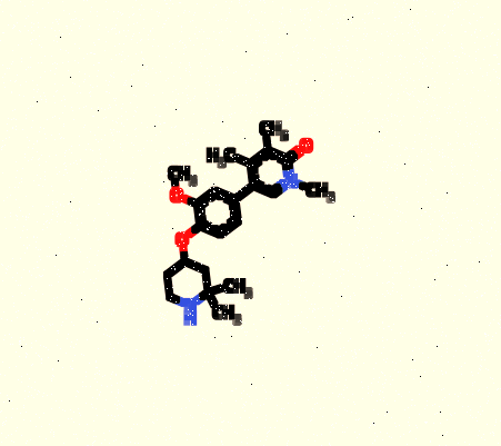 COc1cc(-c2cn(C)c(=O)c(C)c2C)ccc1OC1CCNC(C)(C)C1